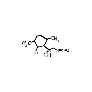 CCC1C(C)CCC(C)C1[C@H](C)CN=C=O